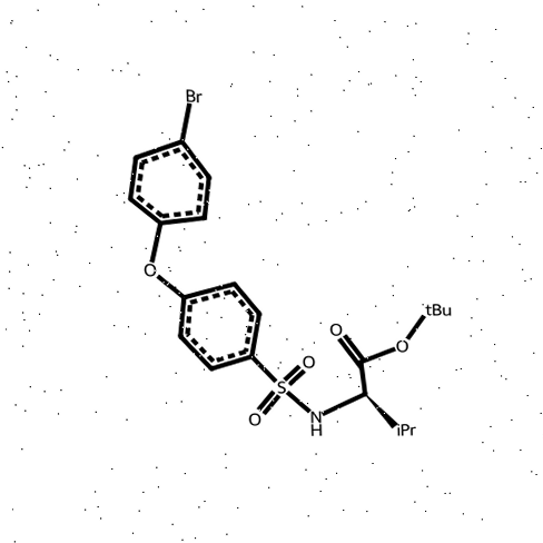 CC(C)[C@@H](NS(=O)(=O)c1ccc(Oc2ccc(Br)cc2)cc1)C(=O)OC(C)(C)C